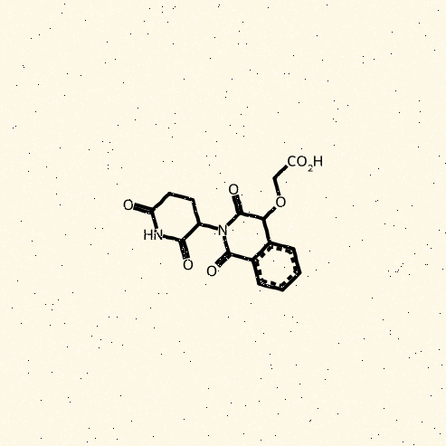 O=C(O)COC1C(=O)N(C2CCC(=O)NC2=O)C(=O)c2ccccc21